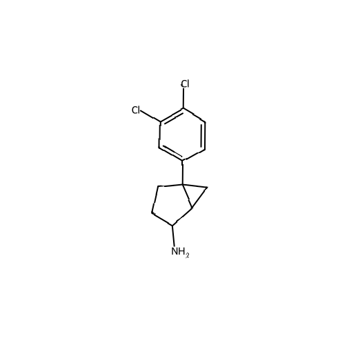 NC1CCC2(c3ccc(Cl)c(Cl)c3)CC12